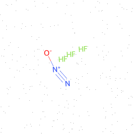 F.F.F.N#[N+][O-]